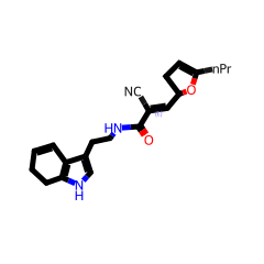 CCCC1=CCC(/C=C(\C#N)C(=O)NCCc2c[nH]c3c2C=CCC3)O1